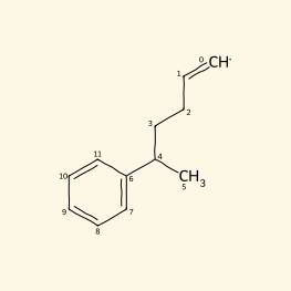 [CH]=CCCC(C)c1ccccc1